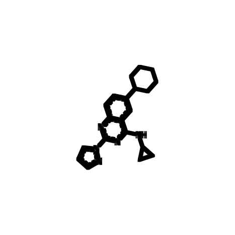 c1cnn(-c2nc(NC3CC3)c3cc(C4CCCCC4)ccc3n2)c1